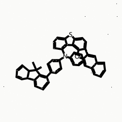 CC1(C)c2c(-c3ccc(N(c4ccccc4)c4cccc5sc6ccc7c8cc9ccccc9cc8oc7c6c45)cc3)cccc2C2C=CC=CC21